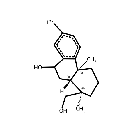 CC(C)c1ccc2c(c1)C(O)C[C@H]1[C@](C)(CO)CCC[C@]21C